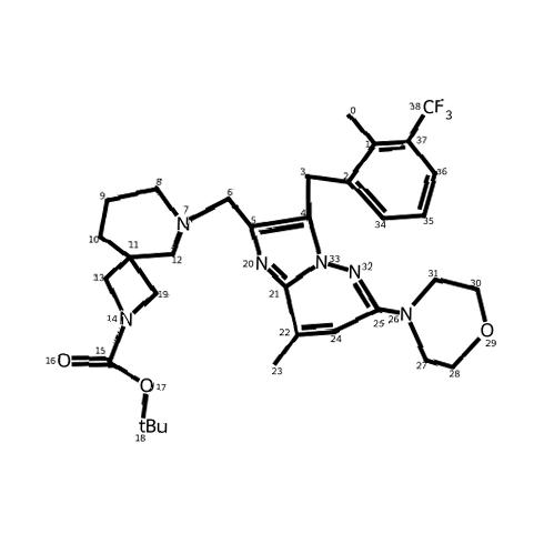 Cc1c(Cc2c(CN3CCCC4(C3)CN(C(=O)OC(C)(C)C)C4)nc3c(C)cc(N4CCOCC4)nn23)cccc1C(F)(F)F